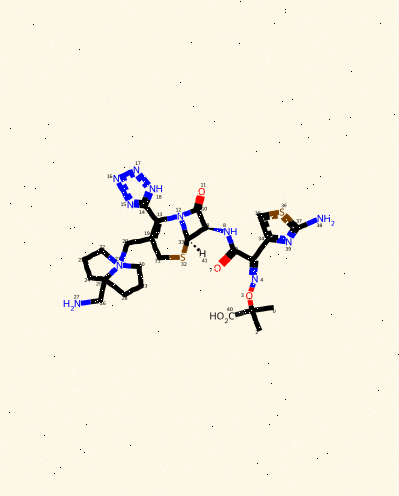 CC(C)(O/N=C(\C(=O)N[C@@H]1C(=O)N2C(c3nnn[nH]3)=C(C[N+]34CCCC3(CN)CCC4)CS[C@H]12)c1csc(N)n1)C(=O)O